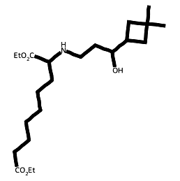 CCOC(=O)CCCCCCC(NCCC(O)C1CC(C)(C)C1)C(=O)OCC